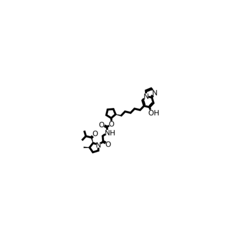 CC(C)C(=O)[C@@H]1[C@H](C)CCN1C(=O)CNC(=O)OC1CCC[C@H]1CCCCCc1cn2ccnc2cc1O